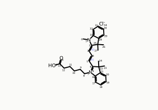 CN1/C(=C/C=C/C2=[N+](CCCCCC(=O)O)c3ccccc3C2(C)C)C(C)(C)c2ccccc21.[Cl-]